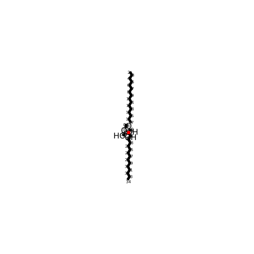 C=C.CCCCCCCCCCCCCCCCOCCCCCCCCCCCCCCCC.O=P(O)(O)O